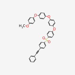 COc1ccc(Oc2ccc(Oc3ccc(Oc4ccc(S(=O)(=O)c5ccc(C#Cc6ccccc6)cc5)cc4)cc3)cc2)cc1